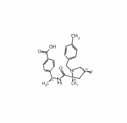 Cc1ccc(CN2C[C@@H](F)C[C@]2(C)C(=O)N[C@@H](C)c2ccc(C(=O)O)cc2)cc1